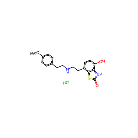 COc1ccc(CCNCCc2ccc(O)c3[nH]c(=O)sc23)cc1.Cl